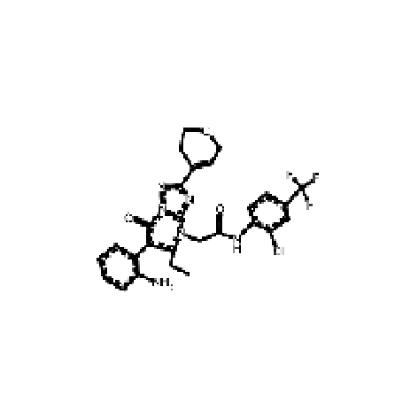 CCc1c(-c2ccccc2N)c(=O)n2nc(C3=CCOCC3)nc2n1CC(=O)Nc1ccc(C(F)(F)F)cc1Cl